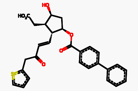 O=C(O)C[C@@H]1[C@@H](C=CC(=O)Cc2cccs2)[C@H](OC(=O)c2ccc(-c3ccccc3)cc2)C[C@@H]1O